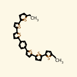 CCc1ccc(-c2ccc(-c3ccc(-c4ccc(-c5ccc(-c6ccc(-c7ccc(CC)s7)s6)s5)cc4)s3)s2)s1